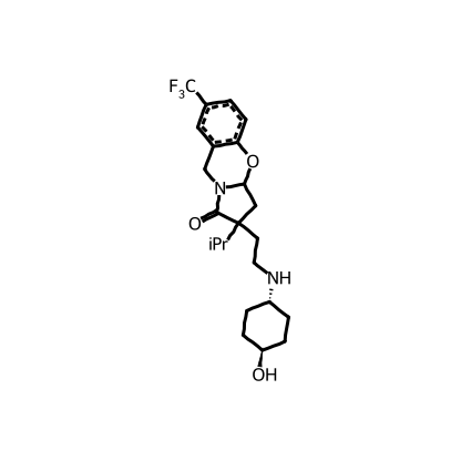 CC(C)C1(CCN[C@H]2CC[C@H](O)CC2)CC2Oc3ccc(C(F)(F)F)cc3CN2C1=O